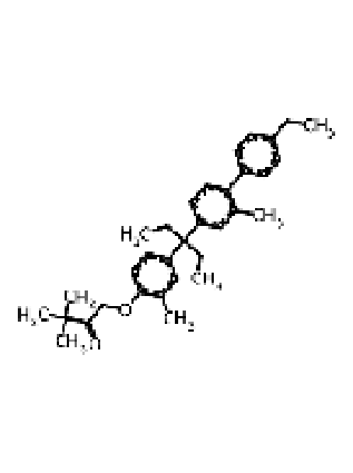 CCc1ccc(-c2ccc(C(CC)(CC)c3ccc(OCC(=O)C(C)(C)C)c(C)c3)cc2C)cc1